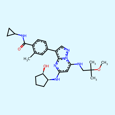 COC(C)(C)CNc1cc(N[C@H]2CCC[C@H]2O)nc2c(-c3ccc(C(=O)NC4CC4)c(C)c3)cnn12